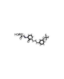 O=C(/C=C/c1cccn(CCCc2cccc(OC(F)(F)F)c2)c1=O)NO